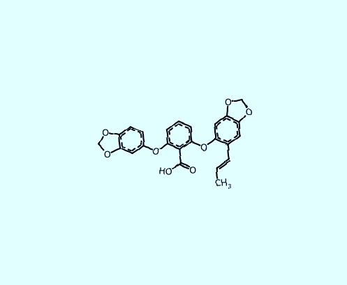 CC=Cc1cc2c(cc1Oc1cccc(Oc3ccc4c(c3)OCO4)c1C(=O)O)OCO2